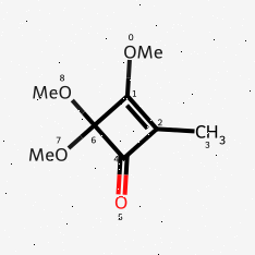 COC1=C(C)C(=O)C1(OC)OC